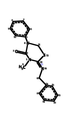 CN1C(=O)N(c2ccccc2)CS/C1=N/Cc1ccccc1